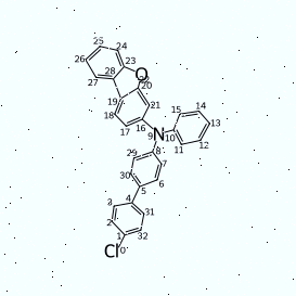 Clc1ccc(-c2ccc(N(c3ccccc3)c3ccc4c(c3)oc3ccccc34)cc2)cc1